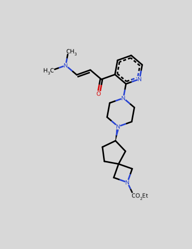 CCOC(=O)N1CC2(CC[C@@H](N3CCN(c4ncccc4C(=O)/C=C/N(C)C)CC3)C2)C1